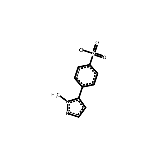 Cn1nccc1-c1ccc(S(=O)(=O)Cl)cc1